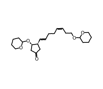 O=C1C[C@H](/C=C/CC/C=C\CCOC2CCCCO2)[C@H](OC2CCCCO2)C1